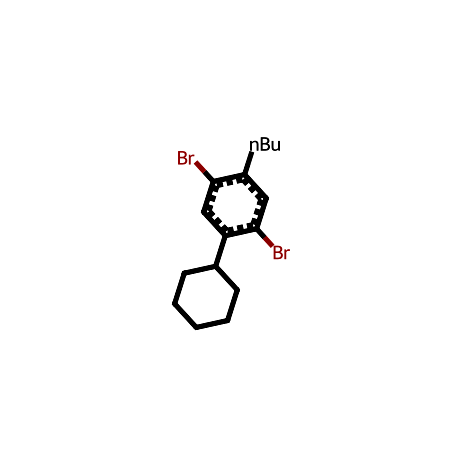 CCCCc1cc(Br)c(C2CCCCC2)cc1Br